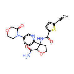 C#Cc1ccc(C(=O)NC2(c3ccc(N4CCOCC4=O)cn3)CCOC2C(N)=O)s1